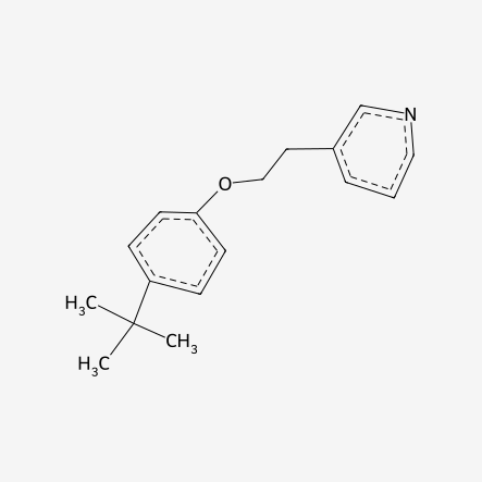 CC(C)(C)c1ccc(OCCc2cccnc2)cc1